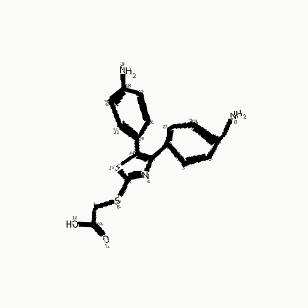 Nc1ccc(-c2nc(SCC(=O)O)sc2-c2ccc(N)cc2)cc1